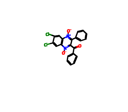 O=C(c1ccccc1)c1c(-c2ccccc2)[n+]([O-])c2cc(Cl)c(Cl)cc2[n+]1[O-]